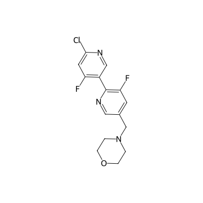 Fc1cc(Cl)ncc1-c1ncc(CN2CCOCC2)cc1F